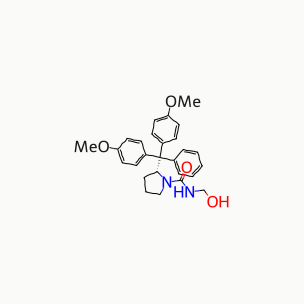 COc1ccc(C(c2ccccc2)(c2ccc(OC)cc2)[C@H]2CCCN2C(=O)NCO)cc1